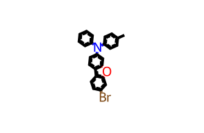 Cc1ccc(N(c2ccccc2)c2ccc3c(c2)oc2cc(Br)ccc23)cc1